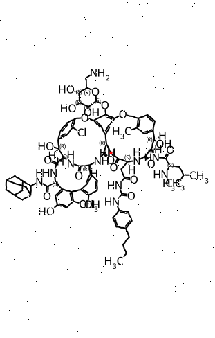 CCCCc1ccc(NC(=O)NC(=O)C[C@@H]2NC(=O)[C@H](NC(=O)[C@@H](CC(C)C)NC)[C@H](O)c3ccc(c(C)c3)Oc3cc4cc(c3O[C@@H]3O[C@H](CN)[C@@H](O)[C@H](O)[C@H]3O)Oc3ccc(cc3Cl)[C@@H](O)[C@@H]3NC(=O)[C@H](NC(=O)[C@@H]4NC2=O)c2ccc(O)c(c2)-c2c(C)cc(O)cc2[C@@H](C(=O)NC2C4CC5CC(C4)CC2C5)NC3=O)cc1